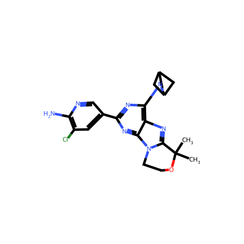 CC1(C)OCCn2c1nc1c(N3CC4CC3C4)nc(-c3cnc(N)c(Cl)c3)nc12